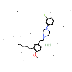 CCCCCc1cc(CCN2CCN(c3cccc(F)c3)CC2)ccc1OC.Cl